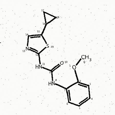 COc1ccccc1NC(=O)Nc1ncc(C2CC2)s1